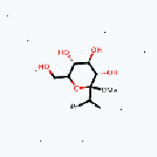 COC1(C(C)C(C)C)O[C@@H](CO)[C@H](O)[C@@H](O)[C@@H]1O